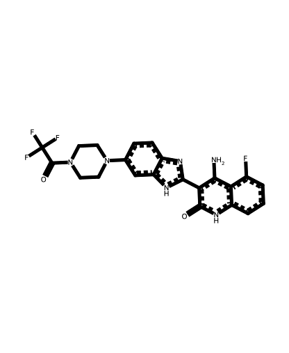 Nc1c(-c2nc3ccc(N4CCN(C(=O)C(F)(F)F)CC4)cc3[nH]2)c(=O)[nH]c2cccc(F)c12